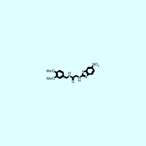 COc1ccc(CNC(=O)CNc2nc3ccc([N+](=O)[O-])cc3s2)cc1OC